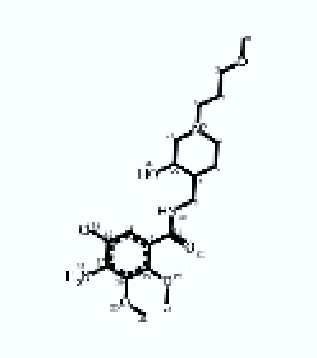 COCCCN1CCC(CNC(=O)c2cc(Cl)c(N)c(OC)c2OC)C(O)C1